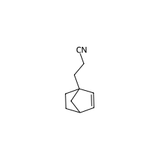 N#CCCC12C=CC(CC1)C2